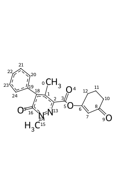 Cc1c(C(=O)OC2=CC(=O)CCC2)nn(C)c(=O)c1-c1ccccc1